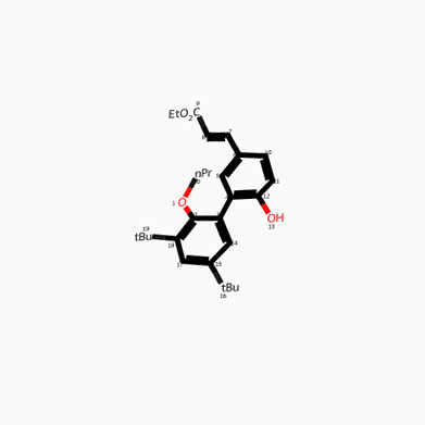 CCCOc1c(-c2cc(C=CC(=O)OCC)ccc2O)cc(C(C)(C)C)cc1C(C)(C)C